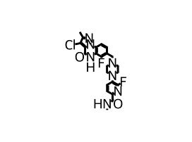 CNC(=O)c1ccc(N2CCN(Cc3ccc4c([nH]c(=O)c5c(Cl)c(C)nn54)c3F)CC2)c(F)n1